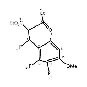 CCOC(=O)C(C(=O)CC)C(F)c1ccc(OC)c(F)c1F